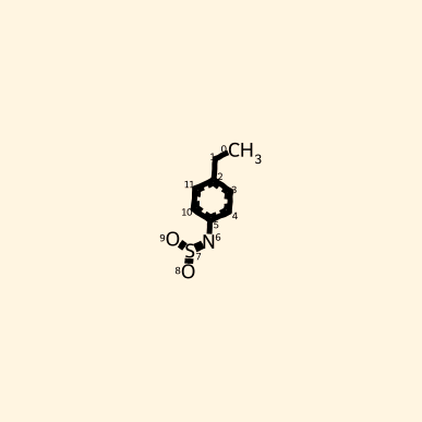 CCc1ccc(N=S(=O)=O)cc1